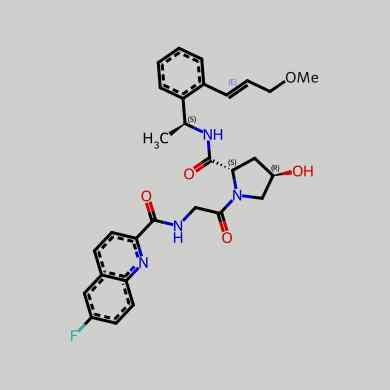 COC/C=C/c1ccccc1[C@H](C)NC(=O)[C@@H]1C[C@@H](O)CN1C(=O)CNC(=O)c1ccc2cc(F)ccc2n1